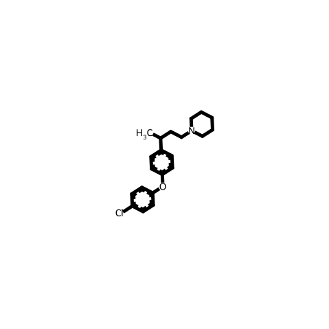 CC(CCN1CCCCC1)c1ccc(Oc2ccc(Cl)cc2)cc1